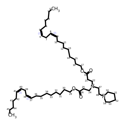 CCCCC/C=C\C/C=C\CCCCCCCCOC(=O)CCN(CCC(=O)OCCCCCCCC/C=C\C/C=C\CCCCC)CCN1CCCCC1